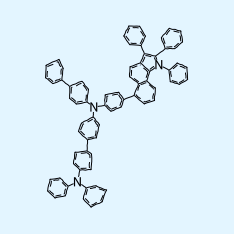 c1ccc(-c2ccc(N(c3ccc(-c4ccc(N(c5ccccc5)c5ccccc5)cc4)cc3)c3ccc(-c4cccc5c4ccc4c(-c6ccccc6)c(-c6ccccc6)n(-c6ccccc6)c45)cc3)cc2)cc1